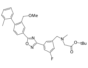 COCc1cc(-c2nc(-c3cc(F)cc(CN(C)CC(=O)OC(C)(C)C)c3)no2)ccc1-c1ccccc1C